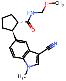 COCNC(=O)[C@H]1CCC[C@@H]1c1ccc2c(c1)c(C#N)cn2C